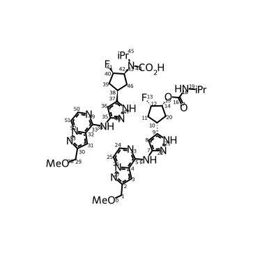 COCc1cc2c(Nc3cc([C@@H]4C[C@H](F)[C@H](OC(=O)NC(C)C)C4)[nH]n3)nccn2n1.COCc1cc2c(Nc3cc([C@H]4C[C@@H](F)[C@@H](N(C(=O)O)C(C)C)C4)[nH]n3)nccn2n1